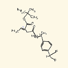 C/C=C(\CC(=O)N[C@@H](C)c1ccc(C(F)(F)F)cc1)C(=O)OC(C)(C)C